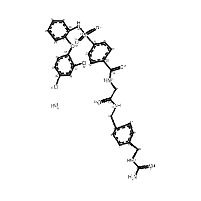 Cl.N=C(N)NCc1ccc(CNC(=O)CNC(=O)c2ccc(S(=O)(=O)Nc3ccccc3Oc3ccc(Cl)cc3Cl)cc2)cc1